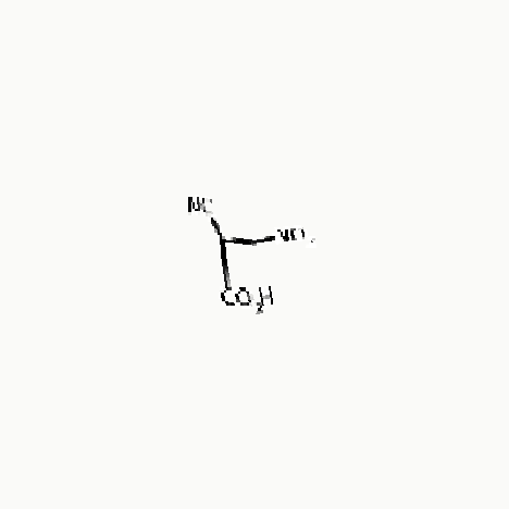 N#CC(C(=O)O)[N+](=O)[O-]